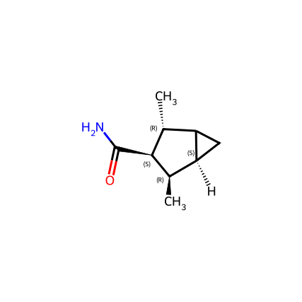 C[C@H]1[C@@H](C(N)=O)[C@H](C)C2C[C@H]21